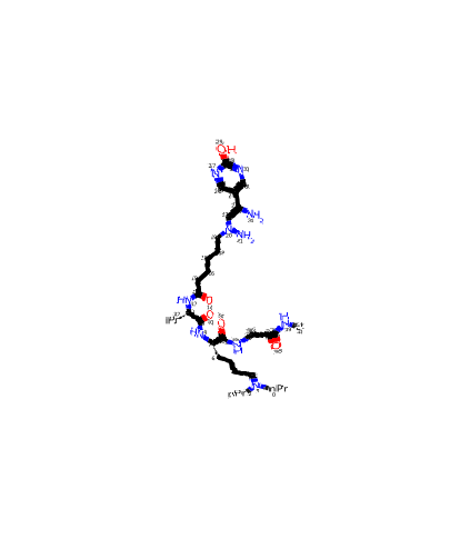 CCCN(CCC)CCCC[C@H](NC(=O)[C@@H](NC(=O)CCCCCN(N)/C=C(\N)c1cnc(O)nc1)C(C)C)C(=O)NCC(=O)NCC